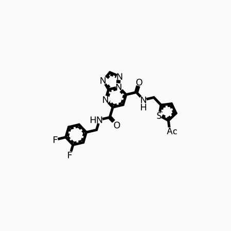 CC(=O)c1ccc(CNC(=O)c2cc(C(=O)NCc3ccc(F)c(F)c3)nc3ncnn23)s1